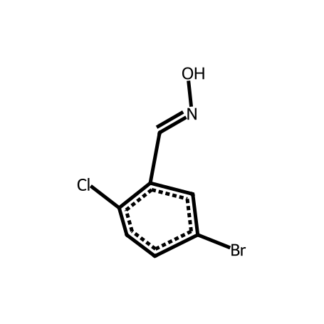 ON=Cc1cc(Br)ccc1Cl